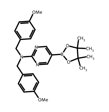 COc1ccc(CN(Cc2ccc(OC)cc2)c2ncc(B3OC(C)(C)C(C)(C)O3)cn2)cc1